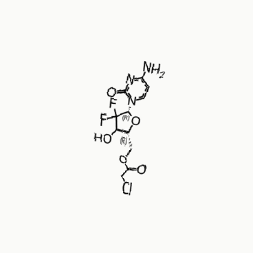 Nc1ccn([C@@H]2O[C@H](COC(=O)CCl)C(O)C2(F)F)c(=O)n1